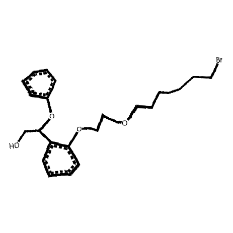 OCC(Oc1ccccc1)c1ccccc1OCCOCCCCCCBr